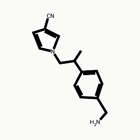 CC(Cn1ccc(C#N)c1)c1ccc(CN)cc1